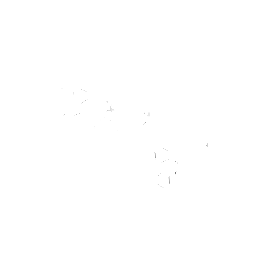 CC(C)(C)[Si](C)(C)O[C@@H](CNCC1CCC(NC(=O)CCCc2ccc(-c3ccccc3)c(N(C(=O)O)C3CCC(N)CC3)c2)CC1)c1ccc(O)c2[nH]c(=O)ccc12